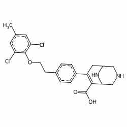 Cc1cc(Cl)c(OCCc2ccc(C3=C(C(=O)O)C4CNCC(C3)N4)cc2)c(Cl)c1